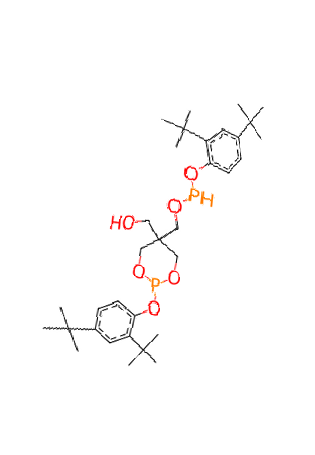 CC(C)(C)c1ccc(OPOCC2(CO)COP(Oc3ccc(C(C)(C)C)cc3C(C)(C)C)OC2)c(C(C)(C)C)c1